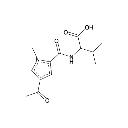 CC(=O)c1cc(C(=O)NC(C(=O)O)C(C)C)n(C)c1